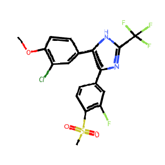 COc1ccc(-c2[nH]c(C(F)(F)F)nc2-c2ccc(S(C)(=O)=O)c(F)c2)cc1Cl